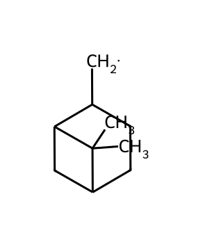 [CH2]C1CCC2CC1C2(C)C